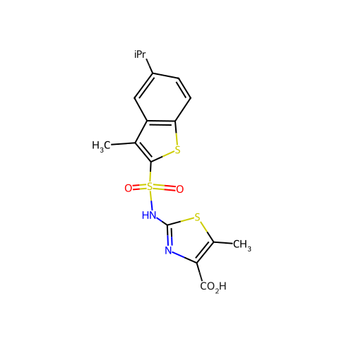 Cc1sc(NS(=O)(=O)c2sc3ccc(C(C)C)cc3c2C)nc1C(=O)O